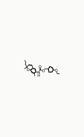 CCCC1(C)C=Cc2cc(NC(=O)OCc3ccc(OCC)cc3)c(C)cc2O1